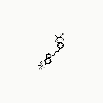 CC(Oc1cccc(CCCn2ccc3cc(OS(C)(=O)=O)ccc32)c1)C(=O)O